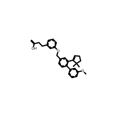 C=C(O)CCc1cccc(OCc2ccc(-c3cccc(OC)c3)c(C3=CCCC3(C)C)c2)c1